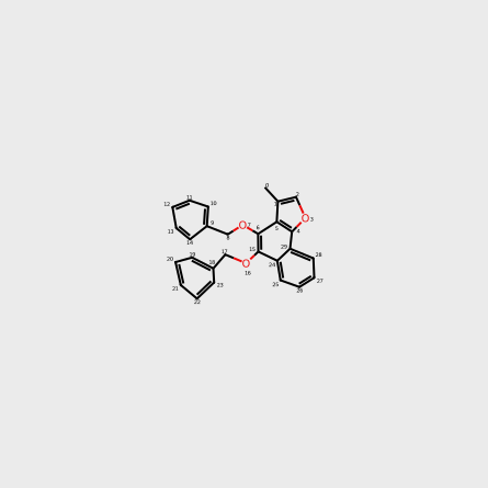 Cc1coc2c1c(OCc1ccccc1)c(OCc1ccccc1)c1ccccc12